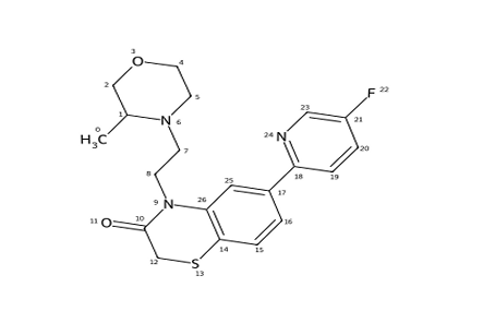 CC1COCCN1CCN1C(=O)CSc2ccc(-c3ccc(F)cn3)cc21